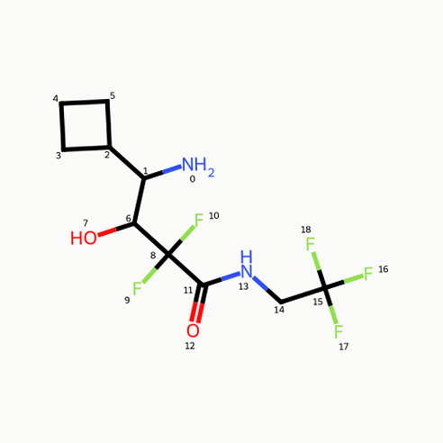 NC(C1CCC1)C(O)C(F)(F)C(=O)NCC(F)(F)F